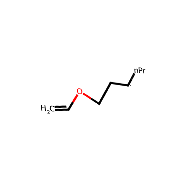 C=COCC[CH]CCC